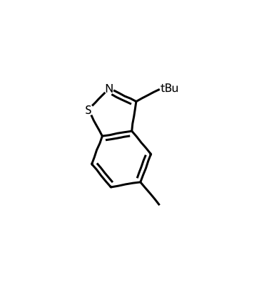 Cc1ccc2snc(C(C)(C)C)c2c1